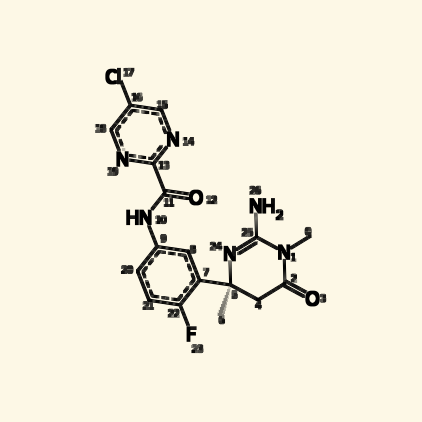 CN1C(=O)C[C@@](C)(c2cc(NC(=O)c3ncc(Cl)cn3)ccc2F)N=C1N